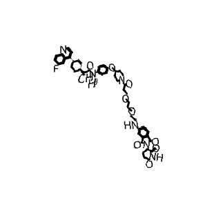 C[C@@H](C(=O)Nc1ccc(OC2CCN(C(=O)CCOCCOCCNc3ccc4c(c3)C(=O)N(C3CCC(=O)NC3=O)C4=O)CC2)cc1)[C@H]1CC[C@@H](c2ccnc3ccc(F)cc32)CC1